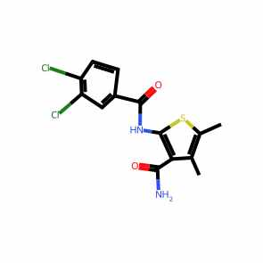 Cc1sc(NC(=O)c2ccc(Cl)c(Cl)c2)c(C(N)=O)c1C